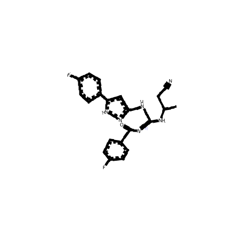 CC(CC#N)N/C(=N/C(=O)c1ccc(F)cc1)Nc1cc(-c2ccc(F)cc2)[nH]n1